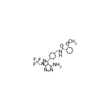 COc1ccccc1C(=O)NCc1ccc(-c2nn(CC(F)(F)F)c3ncnc(N)c23)cc1